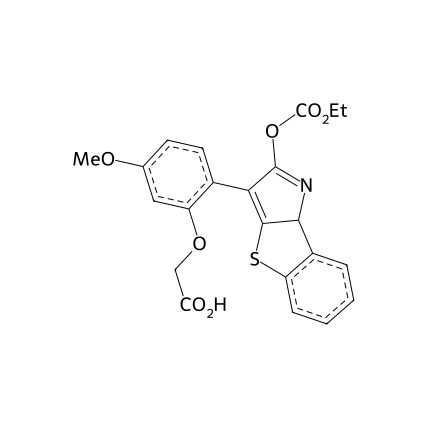 CCOC(=O)OC1=NC2C(=C1c1ccc(OC)cc1OCC(=O)O)Sc1ccccc12